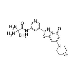 BC(B)(N)C(=O)Nc1cncc(-c2nn3c(=O)cc(N4CCNCC4)cc3s2)c1